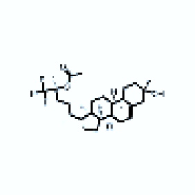 CC(=O)O[C@@](C)(CC[C@@H](C)[C@H]1CC[C@H]2[C@@H]3CC=C4C[C@@](C)(O)CC[C@]4(C)[C@H]3CC[C@]12C)C(F)(F)F